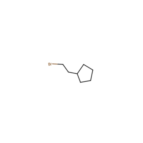 BrCCC1CCCC1